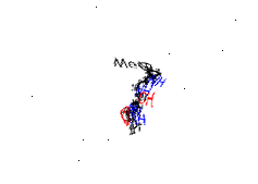 COc1ccc2[nH]cc(C[C@@H](C)NC[C@H](O)c3cnc(NC(=O)C(C)C)nc3)c2c1